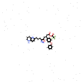 O=C(CC(Cc1onnc1CCCc1ccc2c(n1)CCCN2)c1ccc(Oc2ccccc2)cc1)OC(=O)C(F)(F)F